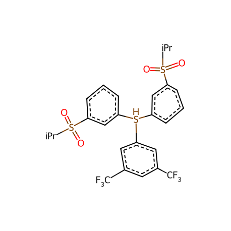 CC(C)S(=O)(=O)c1cccc([SH](c2cc(C(F)(F)F)cc(C(F)(F)F)c2)c2cccc(S(=O)(=O)C(C)C)c2)c1